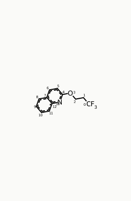 FC(F)(F)CCOc1ccc2ccccc2n1